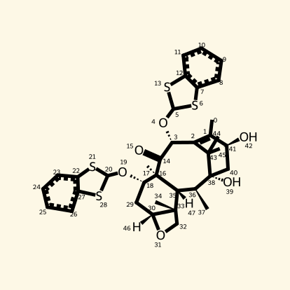 CC1=C2[C@@H](OC3Sc4ccccc4S3)C(=O)[C@]3(C)[C@@H](OC4Sc5ccccc5S4)C[C@H]4OC[C@@]4(C)[C@H]3[C@H](C)[C@](O)(C[C@@H]1O)C2(C)C